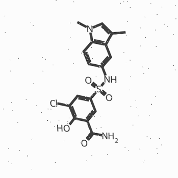 Cc1cn(C)c2ccc(NS(=O)(=O)c3cc(Cl)c(O)c(C(N)=O)c3)cc12